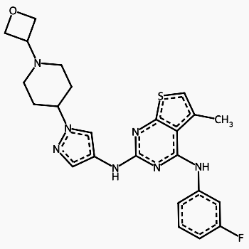 Cc1csc2nc(Nc3cnn(C4CCN(C5COC5)CC4)c3)nc(Nc3cccc(F)c3)c12